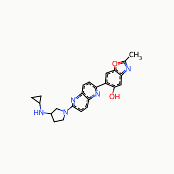 Cc1nc2cc(O)c(-c3ccc4nc(N5CCC(NC6CC6)C5)ccc4n3)cc2o1